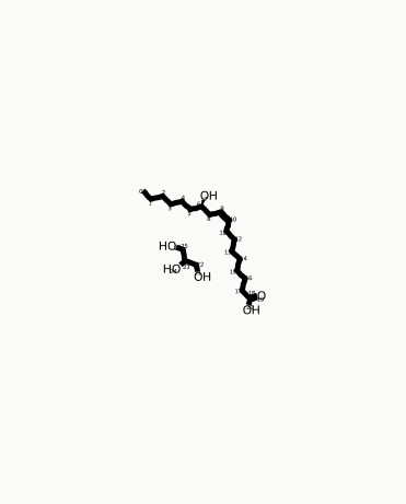 CCCCCC[C@@H](O)C/C=C\CCCCCCCC(=O)O.OCC(O)CO